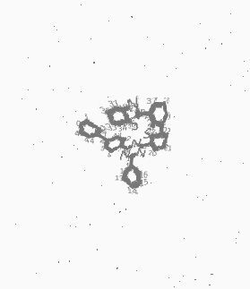 c1ccc(-c2ccc(-c3nc(-c4ccccc4)nc(-c4cccc5c4sc4c(-c6nc7ccccc7s6)cccc45)n3)cc2)cc1